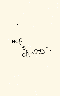 O=C(O)CCCSCCN1C(=O)CC[C@@H]1/C=C/[C@@H](O)Cc1ccc(F)cc1